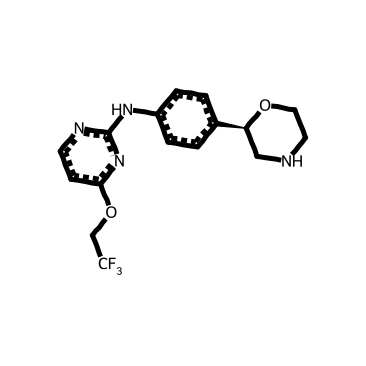 FC(F)(F)COc1ccnc(Nc2ccc([C@@H]3CNCCO3)cc2)n1